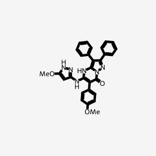 COc1ccc(-c2c(Nc3cc(OC)[nH]n3)[nH]c3c(-c4ccccc4)c(-c4ccccc4)nn3c2=O)cc1